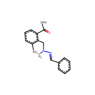 COC(=O)c1cccc([N+](=O)[O-])c1CN(C)/N=C/c1ccccc1